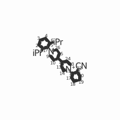 CC(C)c1cccc(C(C)C)c1N1C=CC(c2cc[n+](-c3ccccc3C#N)cc2)=CC1